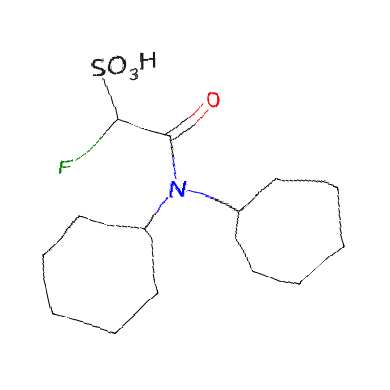 O=C(C(F)S(=O)(=O)O)N(C1CCCCC1)C1CCCCC1